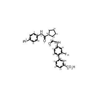 CC(C)c1ccc(NC(=O)N2CCC[C@@H]2C(=O)Nc2ccc(-c3cccc(C(=O)O)n3)c(F)c2)cc1